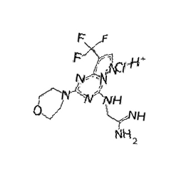 N=C(N)CNc1nc(N2CCOCC2)nc2c(C(F)(F)F)cnn12.[Cl-].[H+]